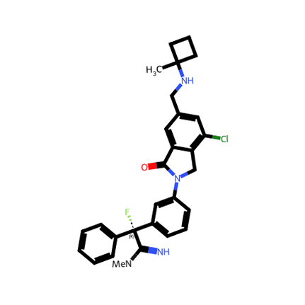 CNC(=N)[C@@](F)(c1ccccc1)c1cccc(N2Cc3c(Cl)cc(CNC4(C)CCC4)cc3C2=O)c1